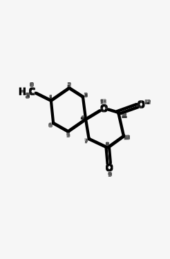 CC1CCC2(CC1)CC(=O)CC(=O)O2